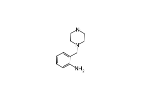 Nc1ccccc1CN1CC[N]CC1